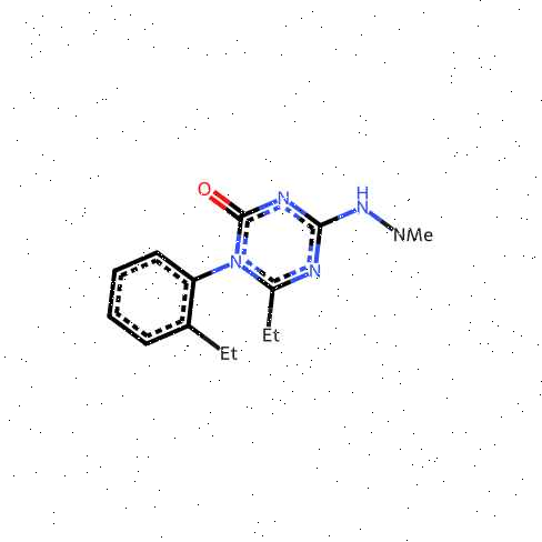 CCc1ccccc1-n1c(CC)nc(NNC)nc1=O